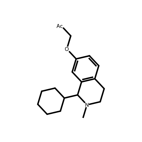 CC(=O)COc1ccc2c(c1)C(C1CCCCC1)N(C)CC2